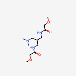 COCC(=O)NCC(CNC(=O)COC)CN(C)C